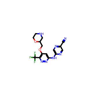 N#Cc1cnc(Nc2cc(OCC3CNCCO3)c(C(F)(F)F)nn2)cn1